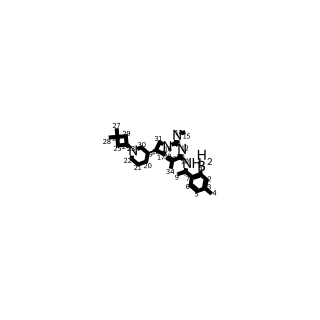 Bc1cc(C)ccc1C(C)N/C(=N/C(=N\C)N1CC([C@H]2CCCN(C3CC(C)(C)C3)C2)C1)C(=C)C